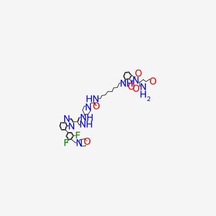 N=C/C(=C\NC1CCN(CC(=O)NCCCCCCCCNc2cccc3c2C(=O)N(C(CCC=O)C(N)=O)C3=O)CC1)c1cnc2cccc(-c3cc(F)c(CN4CCOCC4)c(F)c3)c2n1